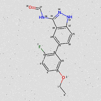 CCOc1ccc(F)c(-c2ccc3[nH]nc(NC=O)c3c2)c1